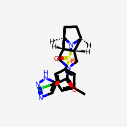 Cc1cc(Cl)cc(S(=O)(=O)N2[C@@H]3CC[C@H]2[C@@H]2CN(C(=O)c4cnn[nH]4)C[C@@H]23)c1